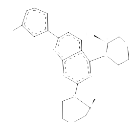 C[C@H]1COCCN1c1nc(N2CCOC[C@@H]2C)c2ccc(-c3cccc(O)c3)nc2n1